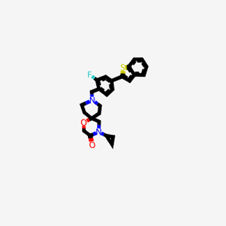 O=C1COC2(CCN(Cc3ccc(-c4cc5ccccc5s4)cc3F)CC2)CN1C1CC1